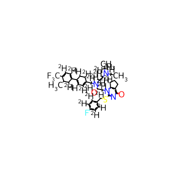 [2H]C1=C(C2=C([2H])C([2H])=C(C(F)(F)F)C(C)C2[2H])C([2H])C([2H])C(C([2H])([2H])N(C(=O)C([2H])([2H])n2c(SCc3c([2H])c([2H])c(F)c([2H])c3[2H])nc(=O)c3c2CCC3)C([2H])([2H])C([2H])([2H])N(C([2H])([2H])C)C([2H])([2H])C)=C1[2H]